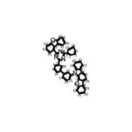 c1ccc(-c2nc(-c3cccc(-c4cccc(-n5c6ccccc6c6ccc7c8ccccc8oc7c65)c4)c3)nc(-c3cccc4oc5ccccc5c34)n2)cc1